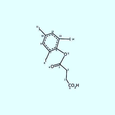 O=C(O)CCC(=O)Oc1c(I)cc(I)cc1I